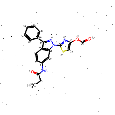 CCC(=O)Nc1ccc2c(-c3ccccc3)nn(-c3nc(OC=O)cs3)c2c1